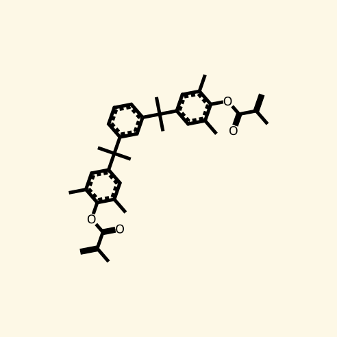 C=C(C)C(=O)Oc1c(C)cc(C(C)(C)c2cccc(C(C)(C)c3cc(C)c(OC(=O)C(=C)C)c(C)c3)c2)cc1C